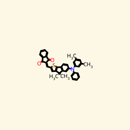 Cc1cc(C)cc(N(c2ccccc2)c2ccc3c(c2)C(C)(C)c2cc(C=C4C(=O)c5ccccc5C4=O)sc2-3)c1